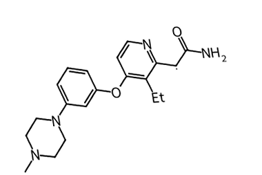 CCc1c(Oc2cccc(N3CCN(C)CC3)c2)ccnc1[CH]C(N)=O